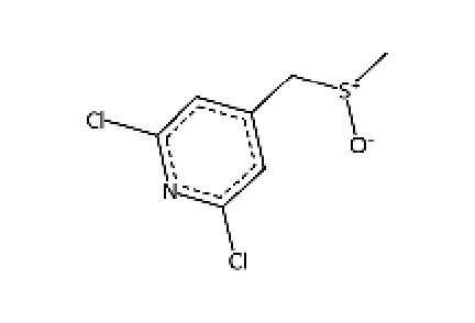 C[S+]([O-])Cc1cc(Cl)nc(Cl)c1